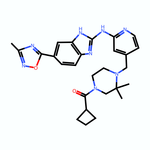 Cc1noc(-c2ccc3nc(Nc4cc(CN5CCN(C(=O)C6CCC6)CC5(C)C)ccn4)[nH]c3c2)n1